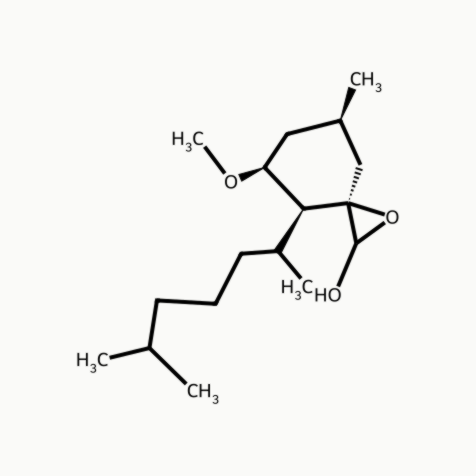 CO[C@H]1C[C@@H](C)C[C@@]2(OC2O)[C@H]1C(C)CCCC(C)C